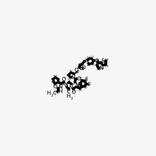 C[CH]C(=O)N[C@H](C(=O)N1CCN(C(=O)c2cc3cc(F)c(F)cc3n2CC(=O)N2CCC[C@H]2COc2cc(CN3CCC(Oc4ccnc5ccsc45)CC3)on2)[C@@H](C)C1)C1CCCCC1